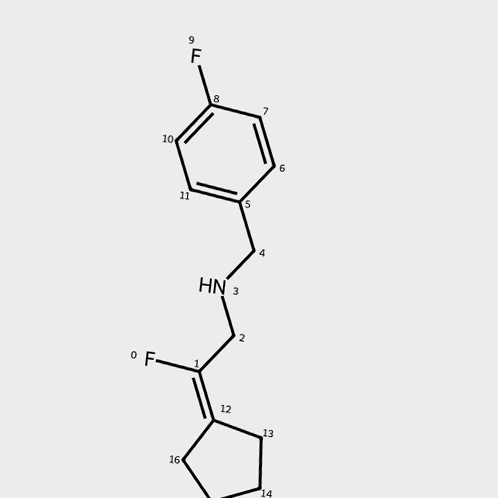 FC(CNCc1ccc(F)cc1)=C1CCCC1